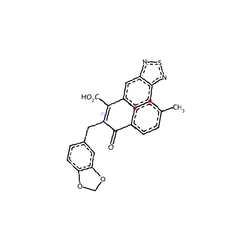 Cc1ccc(C(=O)/C(Cc2ccc3c(c2)OCO3)=C(/C(=O)O)c2ccc3nsnc3c2)cc1